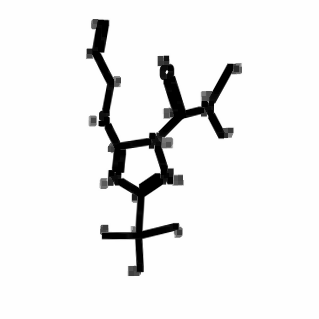 C=CCSc1nc(C(C)(C)C)nn1C(=O)N(C)C